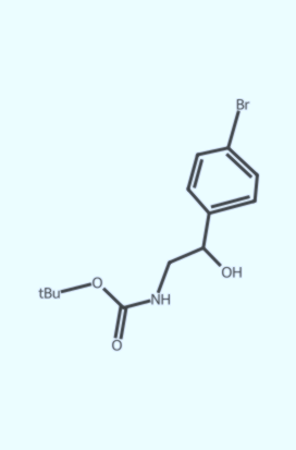 CC(C)(C)OC(=O)NCC(O)c1ccc(Br)cc1